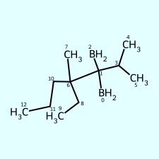 BC(B)(C(C)C)C(C)(CC)CCC